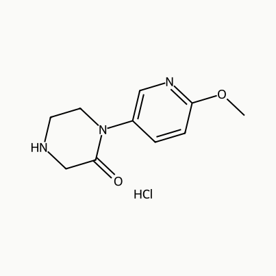 COc1ccc(N2CCNCC2=O)cn1.Cl